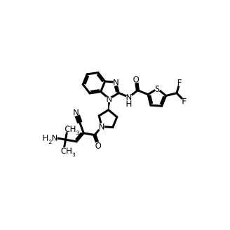 CC(C)(N)/C=C(\C#N)C(=O)N1CC[C@H](n2c(NC(=O)c3ccc(C(F)F)s3)nc3ccccc32)C1